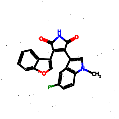 Cn1cc(C2=C(c3coc4ccccc34)C(=O)NC2=O)c2cc(F)ccc21